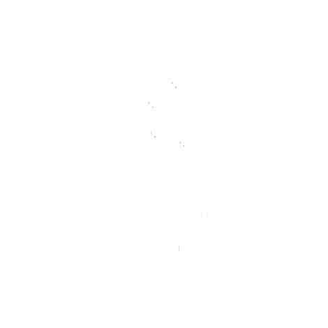 C/C(=C(\CCOP(=O)(O)O)SC(=O)c1cc(C)oc1C)N(C=O)Cc1cnc(C)nc1N